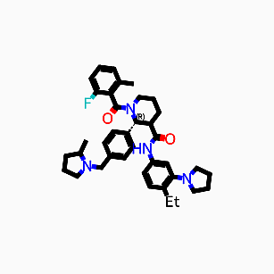 CCc1ccc(NC(=O)C2CCCN(C(=O)c3c(C)cccc3F)[C@H]2c2ccc(CN3CCCC3C)cc2)cc1N1CCCC1